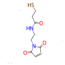 O=C(CCS)NCCN1C(=O)C=CC1=O